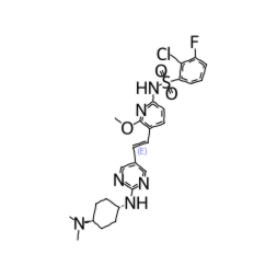 COc1nc(NS(=O)(=O)c2cccc(F)c2Cl)ccc1/C=C/c1cnc(N[C@H]2CC[C@H](N(C)C)CC2)nc1